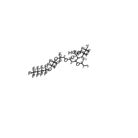 CCC(F)OC(CCOCC(F)(F)OC(F)(F)C(F)(F)OC(F)(F)C(F)(F)C(F)(F)C(F)(F)F)[C@H](CC(F)(F)C(C)(F)F)S(=O)(=O)O